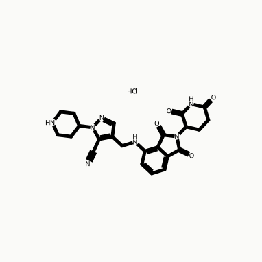 Cl.N#Cc1c(CNc2cccc3c2C(=O)N(C2CCC(=O)NC2=O)C3=O)cnn1C1CCNCC1